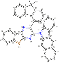 CC1(C)c2ccccc2-c2c(-c3nc4c(nc3-n3c5ccccc5c5cc6ccccc6cc53)sc3ccccc34)cccc21